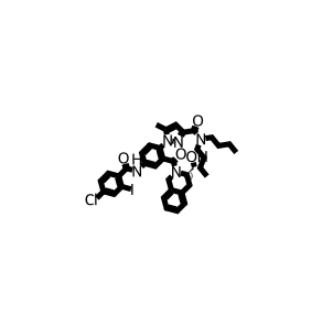 CCCCN(CCCC)C(=O)c1cc(C)n(-c2ccc(NC(=O)c3ccc(Cl)cc3I)cc2C(=O)N2Cc3ccccc3C[C@H]2CO)n1